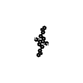 CC1(C)c2ccccc2-c2ccc(-c3ccc(-n4c5cnccc5c5c6ccccc6c6c(c7ccccc7c7c8ccncc8n(-c8ccc(-c9ccc%10c(c9)C(C)(C)c9ccccc9-%10)cc8)c76)c54)cc3)cc21